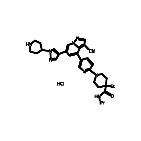 CCC1(C(=O)NC(C)C)CCN(c2ccc(-c3cc(-c4cnn(C5CCNCC5)c4)cn4ncc(C#N)c34)cn2)CC1.Cl